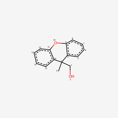 CC1(CO)c2ccccc2Oc2ccccc21